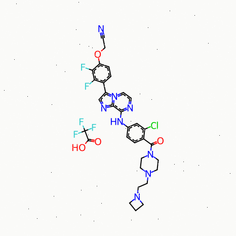 N#CCOc1ccc(-c2cnc3c(Nc4ccc(C(=O)N5CCN(CCN6CCC6)CC5)c(Cl)c4)nccn23)c(F)c1F.O=C(O)C(F)(F)F